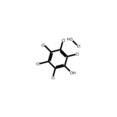 CCO.Oc1c(Cl)c(Cl)c(Cl)c(Cl)c1Cl